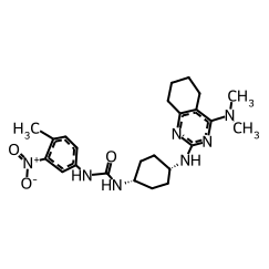 Cc1ccc(NC(=O)N[C@H]2CC[C@@H](Nc3nc4c(c(N(C)C)n3)CCCC4)CC2)cc1[N+](=O)[O-]